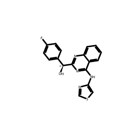 O[C@@H](c1ccc(F)cc1)c1nc(Nc2cscn2)c2ccccc2n1